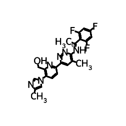 Cc1cn(-c2ccc(-c3cc(C)c(N[C@@H](C)c4c(F)cc(F)cc4F)nn3)nc2CO)cn1